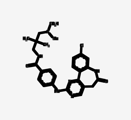 CC(C)(CNC(=O)c1ccc(Nc2ncc3c(n2)-c2ccc(Cl)cc2NC(=O)C3)cc1)CN(C(=O)O)C(C)(C)C